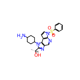 C[C@@H](O)c1nc2cnc3c(ccn3S(=O)(=O)c3ccccc3)c2n1C1CCC(N)CC1